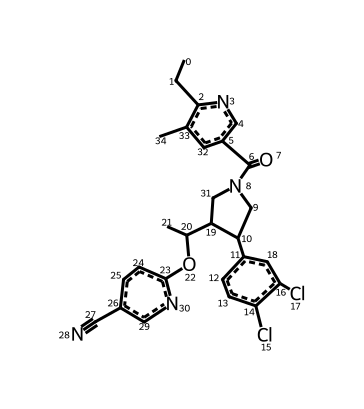 CCc1ncc(C(=O)N2CC(c3ccc(Cl)c(Cl)c3)C(C(C)Oc3ccc(C#N)cn3)C2)cc1C